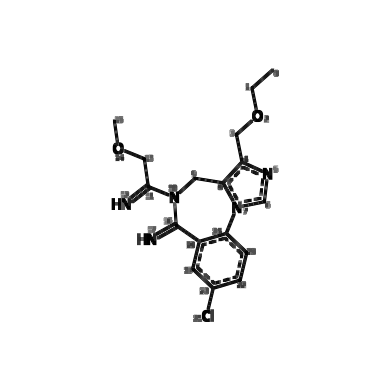 CCOCc1ncn2c1CN(C(=N)COC)C(=N)c1cc(Cl)ccc1-2